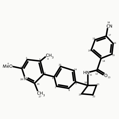 COc1cc(C)c(-c2ccc(C3(NC(=O)c4ccc(C#N)cc4)CCC3)cc2)c(C)n1